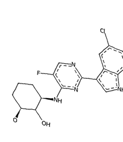 OC1[C@@H](O)CCC[C@H]1Nc1nc(-c2c[nH]c3ncc(Cl)cc23)ncc1F